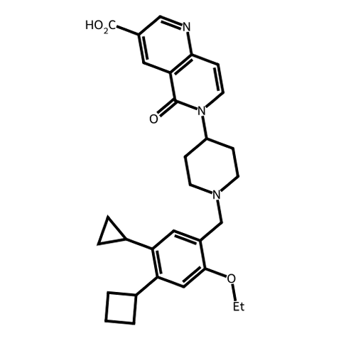 CCOc1cc(C2CCC2)c(C2CC2)cc1CN1CCC(n2ccc3ncc(C(=O)O)cc3c2=O)CC1